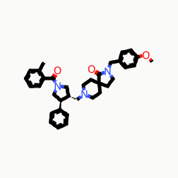 COc1ccc(CN2CCC3(CCN(C[C@H]4CN(C(=O)c5ccccc5C)C[C@@H]4c4ccccc4)CC3)C2=O)cc1